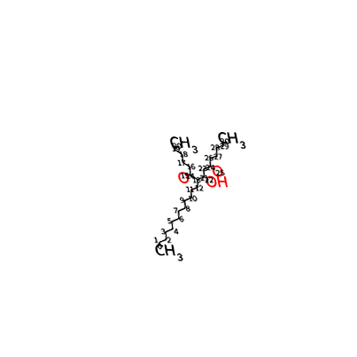 CCCCCCCCCCCCCC(C(=O)CCCCC)C(O)CC(=O)CCCCC